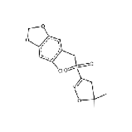 CC1(C)CC(S(=O)(=O)Cc2cc3c(cc2Cl)OCO3)=NO1